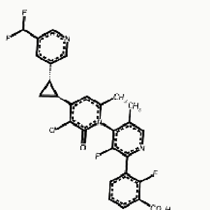 Cc1cnc(-c2cccc(C(=O)O)c2F)c(F)c1-n1c(C)cc([C@H]2C[C@@H]2c2cncc(C(F)F)c2)c(Cl)c1=O